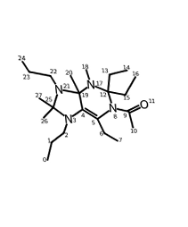 CCCN1C2=C(CC)N(C(C)=O)C(CC)(CC)N(C)C2(C)N(CCC)C1(C)C